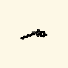 CCCCCCCCNS(=O)(=O)c1ccc(C)cc1